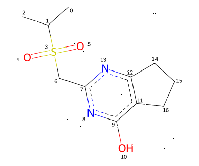 CC(C)S(=O)(=O)Cc1nc(O)c2c(n1)CCC2